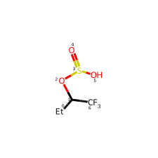 CCC(OS(=O)O)C(F)(F)F